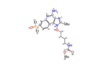 CCCCc1nc2c(N)nc3cc(P(=O)(CC)CC)ccc3c2n1OCCCCNC(=O)OC(C)(C)C